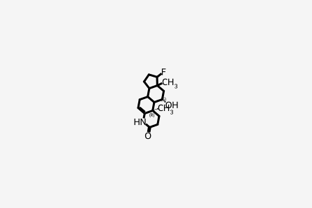 CC12C[C@H](O)C3C(CC=C4NC(=O)CC[C@@]43C)C1CCC2F